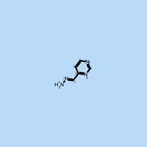 NN=Cc1ccncn1